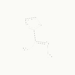 CO/C(=N\C#N)c1cccs1